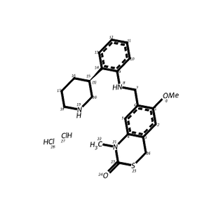 COc1cc2c(cc1CNc1ccccc1[C@@H]1CCCNC1)N(C)C(=O)SC2.Cl.Cl